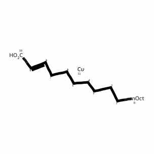 CCCCCCCCCCCCCCCC=CC(=O)O.[Cu]